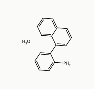 O.Pc1ccccc1-c1cccc2ccccc12